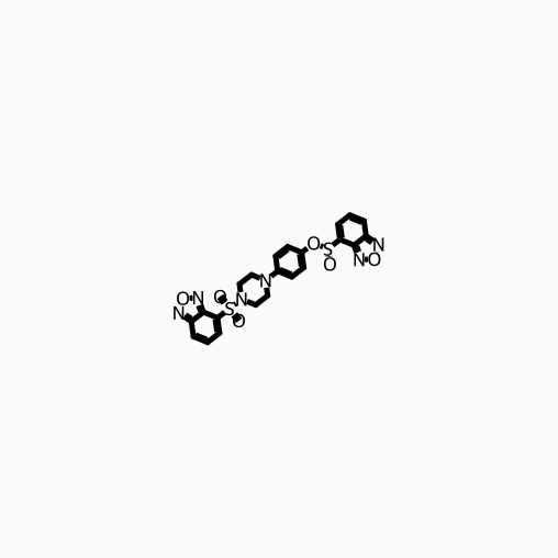 O=S(Oc1ccc(N2CCN(S(=O)(=O)c3cccc4nonc34)CC2)cc1)c1cccc2nonc12